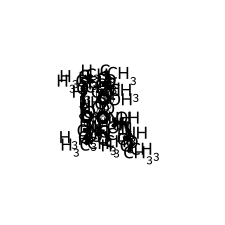 CN(C(=O)OC(C)(C)C)[C@@H]1[C@@H](O)[C@@H](O[C@@H]2[C@@H](O)[C@H](C3OC(CNCCO[Si](C)(C)C(C)(C)C)=CC[C@H]3NC(=O)OC(C)(C)C)[C@@H](NC(=O)OC(C)(C)C)C[C@H]2NC(=O)C2(O)CN(NC(=O)OC(C)(C)C)C2)OC[C@]1(C)O